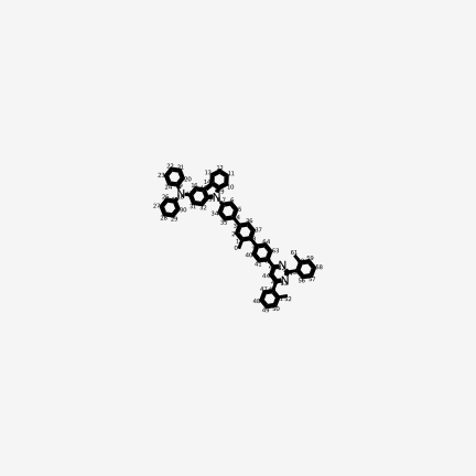 Cc1cc(-c2ccc(-n3c4ccccc4c4cc(N(c5ccccc5)c5ccccc5)ccc43)cc2)ccc1-c1ccc(-c2cc(-c3ccccc3C)nc(-c3ccccc3C)n2)cc1